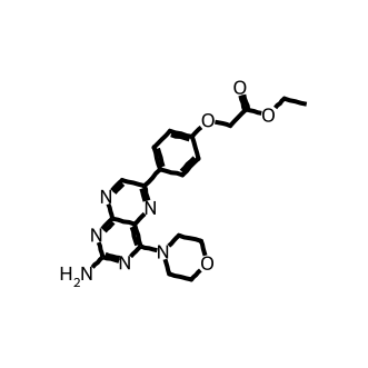 CCOC(=O)COc1ccc(-c2cnc3nc(N)nc(N4CCOCC4)c3n2)cc1